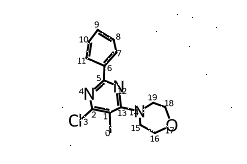 Cc1c(Cl)nc(-c2ccccc2)nc1N1CCOCC1